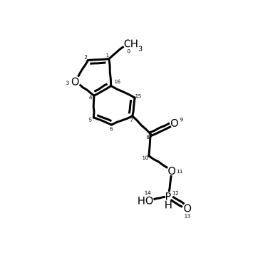 Cc1coc2ccc(C(=O)CO[PH](=O)O)cc12